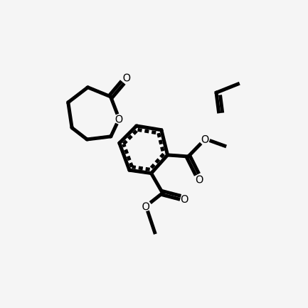 C=CC.COC(=O)c1ccccc1C(=O)OC.O=C1CCCCCO1